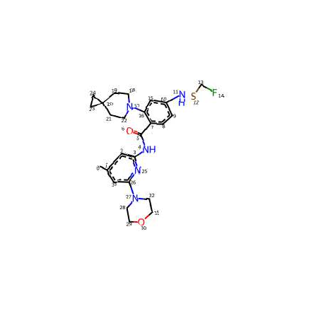 Cc1cc(NC(=O)c2ccc(NSCF)cc2N2CCC3(CC2)CC3)nc(N2CCOCC2)c1